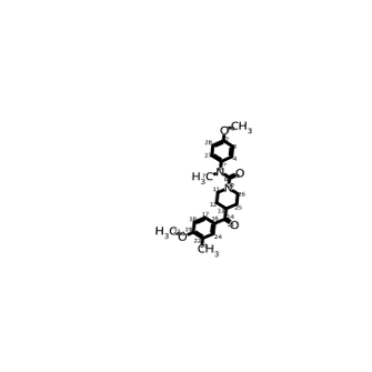 COc1ccc(N(C)C(=O)N2CCC(C(=O)c3ccc(OC)c(C)c3)CC2)cc1